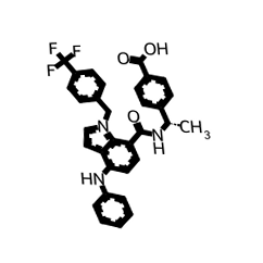 C[C@H](NC(=O)c1ccc(Nc2ccccc2)c2ccn(Cc3ccc(C(F)(F)F)cc3)c12)c1ccc(C(=O)O)cc1